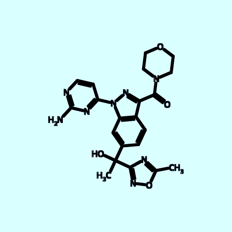 Cc1nc(C(C)(O)c2ccc3c(C(=O)N4CCOCC4)nn(-c4ccnc(N)n4)c3c2)no1